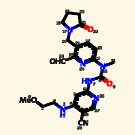 COCCNc1cc(NC(=O)N(C)c2ccc(CN3CCCC3=O)c(C=O)n2)ncc1C#N